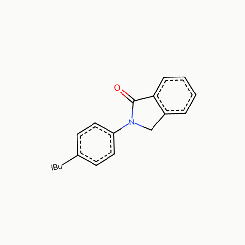 CCC(C)c1ccc(N2Cc3ccccc3C2=O)cc1